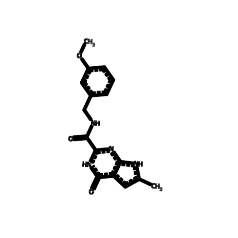 COc1cccc(CNC(=O)c2nc3[nH]c(C)cc3c(=O)[nH]2)c1